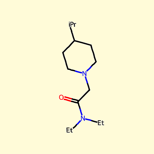 CCN(CC)C(=O)CN1CCC(C(C)C)CC1